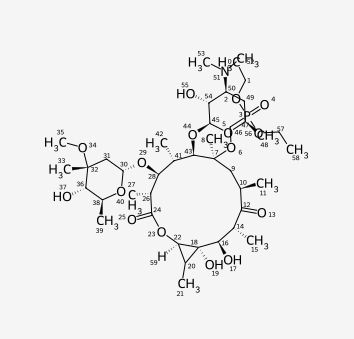 CCOP(=O)(CO[C@@]1(C)C[C@@H](C)C(=O)[C@H](C)[C@@H](O)[C@@]2(O)C(C)[C@H]2OC(=O)[C@H](C)[C@@H](O[C@H]2C[C@@](C)(OC)[C@@H](O)[C@H](C)O2)[C@H](C)[C@H]1O[C@@H]1O[C@H](C)C[C@H](N(C)C)[C@H]1O)OCC